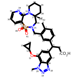 Cc1ccc(C(CC(=O)O)c2cc(OC3CC3)c3c(c2)nnn3C)cc1CN1C[C@H]2CCCCN2c2ncccc2S1(=O)=O